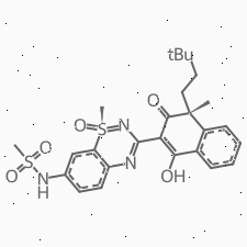 CC(C)(C)CC[C@@]1(C)C(=O)C(C2=Nc3ccc(NS(C)(=O)=O)cc3[S@](C)(=O)=N2)=C(O)c2ccccc21